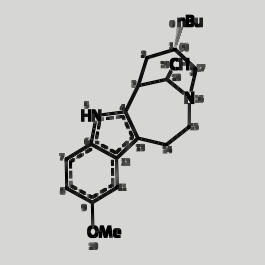 CCCC[C@H]1CC2c3[nH]c4ccc(OC)cc4c3CCN(C1)C2C